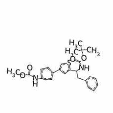 COC(=O)Nc1ccc(-c2csc(C(Cc3ccccc3)NC(=O)OC(C)(C)C)c2)cc1